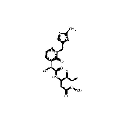 CCC(C(=O)NC(CC(=O)OC(C)(C)C)C(=O)CF)c1ccnn(Cc2csc(C)n2)c1=O